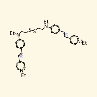 CCN(CCSSCCN(CC)c1ccc(/C=C/c2cc[n+](CC)cc2)cc1)c1ccc(/C=C/c2cc[n+](CC)cc2)cc1